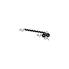 CCCCCCCCCCCCCCCCCC[Si](Cl)(c1ccccc1)c1cc(C)cc(C)c1